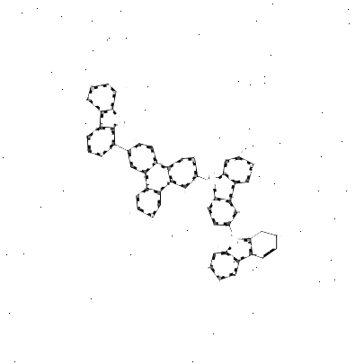 C1=Cc2c(n(-c3ccc4c(c3)c3ccccc3n4-c3ccc4c5ccc(-c6cccc7c6sc6ccccc67)cc5c5ccccc5c4c3)c3ccccc23)CC1